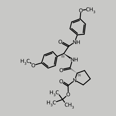 COc1ccc(NC(=O)[C@@H](NC(=O)[C@@H]2CCCN2C(=O)OC(C)(C)C)c2ccc(OC)cc2)cc1